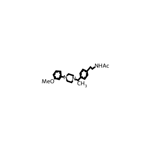 COc1cccc(N2CCN(C(C)c3ccc(CCNC(C)=O)cc3)CC2)c1